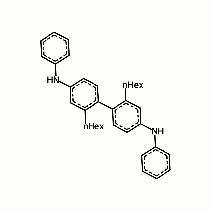 CCCCCCc1cc(Nc2ccccc2)ccc1-c1ccc(Nc2ccccc2)cc1CCCCCC